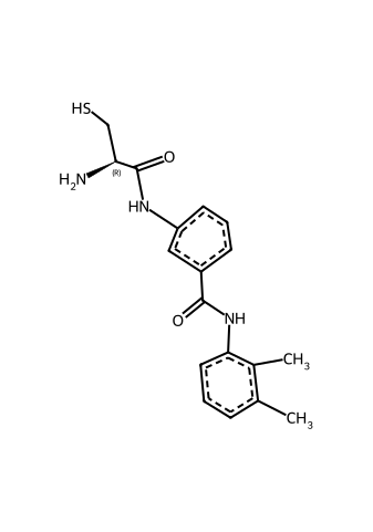 Cc1cccc(NC(=O)c2cccc(NC(=O)[C@@H](N)CS)c2)c1C